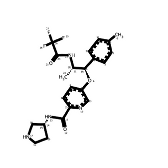 Cc1ccc([C@@H](Oc2ccc(C(=O)N[C@@H]3CCNC3)nc2)[C@H](C)NC(=O)C(F)(F)F)cc1